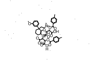 COc1cccc(C2(CCN(C)C)CCCC(O[C@H](C(=O)O)[C@H](OC(=O)c3ccc(C)cc3)C(=O)O)=C2O[C@H](C(=O)O)[C@H](OC(=O)c2ccc(C)cc2)C(=O)O)c1